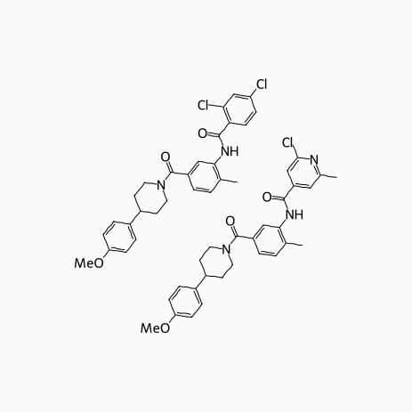 COc1ccc(C2CCN(C(=O)c3ccc(C)c(NC(=O)c4cc(C)nc(Cl)c4)c3)CC2)cc1.COc1ccc(C2CCN(C(=O)c3ccc(C)c(NC(=O)c4ccc(Cl)cc4Cl)c3)CC2)cc1